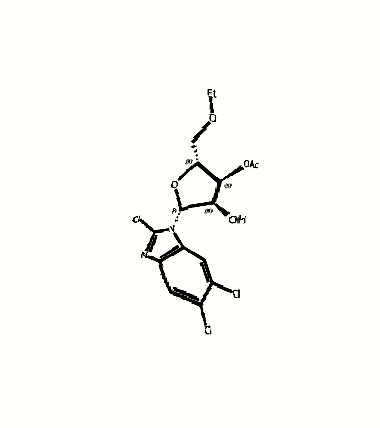 CCOC[C@H]1O[C@@H](n2c(Cl)nc3cc(Cl)c(Cl)cc32)[C@H](O)[C@@H]1OC(C)=O